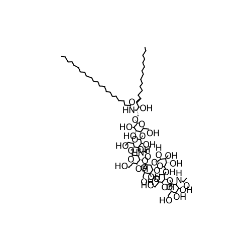 CCCCCCCCCCCCC/C=C/[C@@H](O)[C@H](CO[C@@H]1OC(CO)[C@@H](O[C@@H]2OC(CO)[C@H](O[C@@H]3OC(CO)[C@H](O)[C@H](O[C@@H]4OC(CO)[C@H](O)[C@H](O[C@H]5OC(CO)[C@H](O)[C@H](O[C@@H]6OC(CO)[C@H](O)[C@H](O)C6NC(C)=O)C5O)C4O[C@H]4OC(C)[C@@H](O)C(O)[C@@H]4O)C3NC(C)=O)[C@H](O)C2O)[C@H](O)C1O)NC(=O)CCCCCCCCCCCCCCCCCCCCC